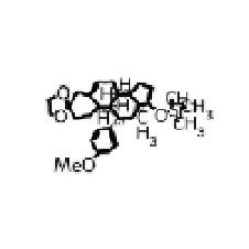 COc1ccc([C@H]2C[C@]3(C)C(O[Si](C)(C)C)=CC[C@H]3[C@@H]3CC=C4CC5(CC[C@@H]4[C@H]32)OCCO5)cc1